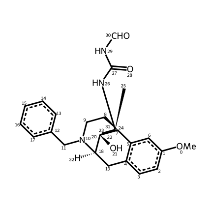 COc1ccc2c(c1)[C@]13CCN(Cc4ccccc4)[C@H](C2)[C@]1(O)CC[C@](C)(NC(=O)NC=O)C3